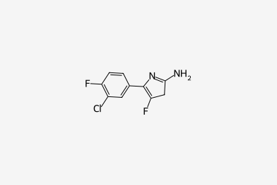 NC1=NC(c2ccc(F)c(Cl)c2)=C(F)C1